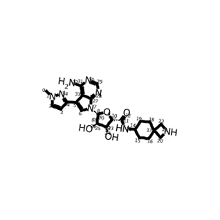 Cn1ccc(-c2cn([C@@H]3O[C@H](C(=O)NC4CCC5(CC4)CNC5)[C@@H](O)[C@H]3O)c3ncnc(N)c23)n1